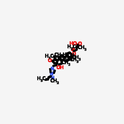 C=N/C(=C\C=C/C)N1CCN(C[C@@H](O)[C@@]23CC[C@]4(C)[C@H](CC[C@@H]5[C@@]6(C)CC[C@H](OC(=O)CC(C)(C)C(=O)O)C(C)(C)[C@@H]6CC[C@]54C)C2=C(C(C)C)C(=O)C3)CC1